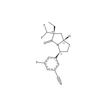 CC[C@@]1(C(F)F)C[C@@H]2CC[C@@H](c3cc(F)cc(C#N)c3)N2C1=O